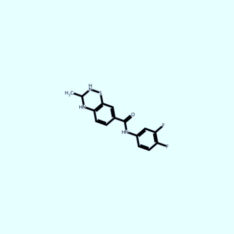 CC1NSc2cc(C(=O)Nc3ccc(F)c(F)c3)ccc2N1